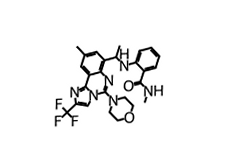 CNC(=O)c1ccccc1NC(C)c1cc(C)cc2c1nc(N1CCOCC1)n1cc(C(F)(F)F)nc21